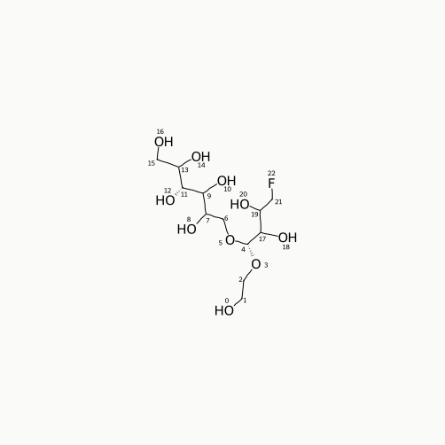 OCCO[C@H](OCC(O)C(O)[C@H](O)C(O)CO)C(O)C(O)CF